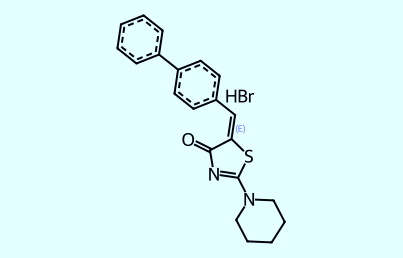 Br.O=C1N=C(N2CCCCC2)S/C1=C/c1ccc(-c2ccccc2)cc1